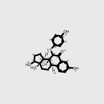 C[C@]12CC[C@@H]3c4ccc(O)cc4C(=O)C(Sc4ccc(O)cc4)[C@H]3[C@@H]1CCC2O